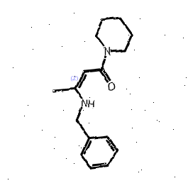 C/C(=C/C(=O)N1CCCCC1)NCc1ccccc1